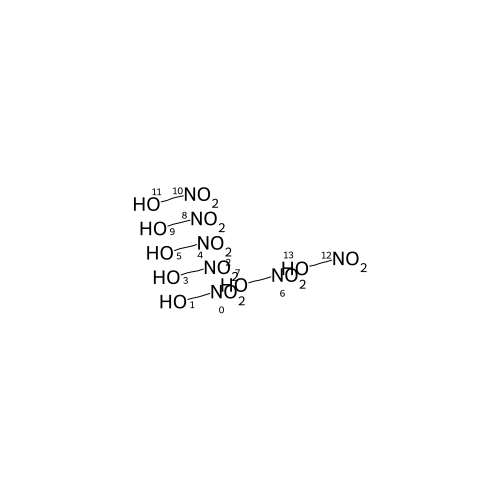 O=[N+]([O-])O.O=[N+]([O-])O.O=[N+]([O-])O.O=[N+]([O-])O.O=[N+]([O-])O.O=[N+]([O-])O.O=[N+]([O-])O